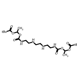 CC(OC(=O)NCCNCCNCCNC(=O)OC(C)OC(=O)C(C)(C)C)OC(=O)C(C)(C)C